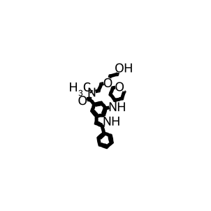 CN(CCOCCO)C(=O)c1cc(NC2CCOCC2)c2[nH]c(-c3ccccc3)cc2c1